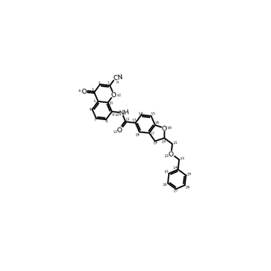 N#Cc1cc(=O)c2cccc(NC(=O)c3ccc4c(c3)CC(COCc3ccccc3)O4)c2o1